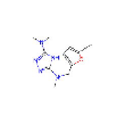 Cc1ccc(CN(C)c2nnc(N(C)C)[nH]2)o1